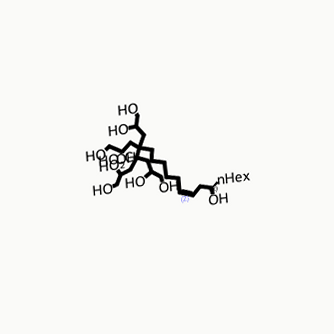 CCCCCC[C@@H](O)C/C=C\CCCCCC(CC(O)CO)(CC(O)CO)C(CC(O)CO)(CC(O)CO)C(=O)O